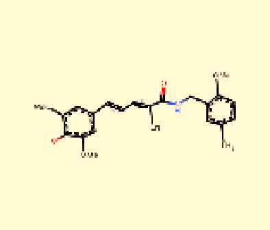 COc1ccc(C)cc1CNC(=O)/C(C#N)=C/C=C/c1cc(OC)c(O)c(OC)c1